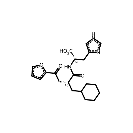 O=C(C[C@@H](CC1CCCCC1)C(=O)N[C@@H](Cc1c[nH]cn1)C(=O)O)c1ccco1